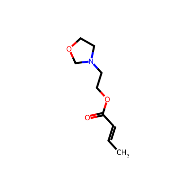 CC=CC(=O)OCCN1CCOC1